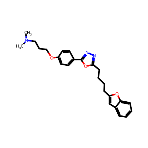 CN(C)CCCOc1ccc(-c2nnc(CCCCc3cc4ccccc4o3)o2)cc1